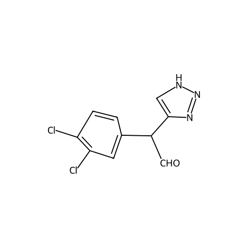 O=CC(c1ccc(Cl)c(Cl)c1)c1c[nH]nn1